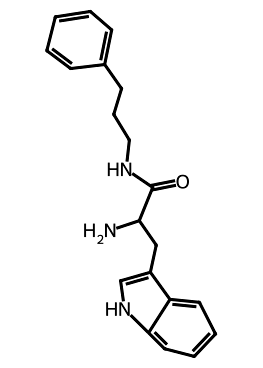 NC(Cc1c[nH]c2ccccc12)C(=O)NCCCc1ccccc1